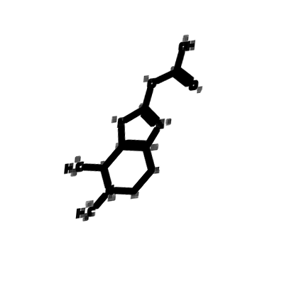 CC1c2sc(OC(=O)O)nc2CCN1C